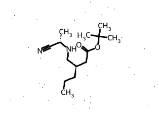 CCC[C@@H](CN[C@@H](C)C#N)CC(=O)OC(C)(C)C